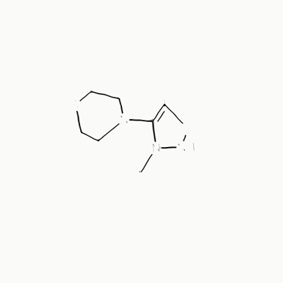 ClN1NSC=C1N1CCSCC1